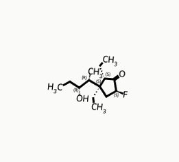 CC[C@@H](O)[C@H](C)[C@]1(CC)C[C@H](F)C(=O)[C@H]1CC